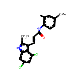 CCOC(=O)c1[nH]c2cc(Cl)cc(Cl)c2c1/C=C/C(=O)Nc1ccc(OC)cc1C